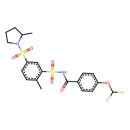 Cc1ccc(S(=O)(=O)N2CCCC2C)cc1S(=O)(=O)NC(=O)c1ccc(OC(F)F)cc1